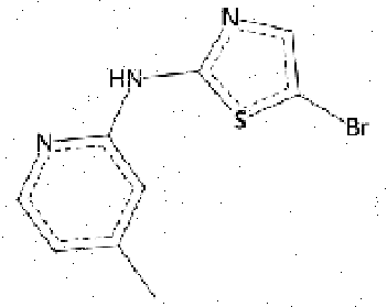 Cc1ccnc(Nc2ncc(Br)s2)c1